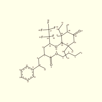 CCCCOC(=O)C(CC(C)c1ccccc1)CC(ON1C(C)(CC)CC(=O)C(C)C1(C)CC)C(F)(F)C(F)(F)F